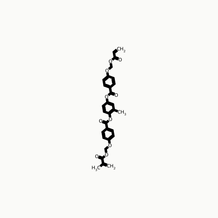 C=CC(=O)OCOc1ccc(C(=O)Oc2ccc(OC(=O)c3ccc(OCOC(=O)C(=C)C)cc3)c(C)c2)cc1